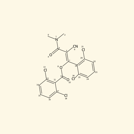 CN(C)C(=O)C(C#N)=C(OC(=O)c1c(Cl)cccc1Cl)c1c(Cl)cccc1Cl